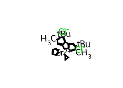 Cc1cc2c(cc1C(C)(C)C)-c1cc(C(C)(C)C)c(C)cc1[CH]2[Zr+2]([C]1=CC=CC1)=[C]1CC1.[Cl-].[Cl-]